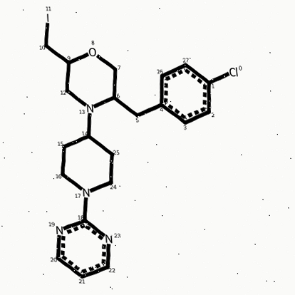 Clc1ccc(CC2COC(CI)CN2C2CCN(c3ncccn3)CC2)cc1